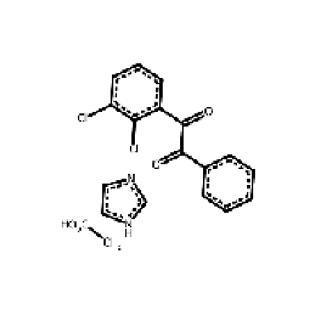 CC(=O)O.O=C(C(=O)c1cccc(Cl)c1Cl)c1ccccc1.c1c[nH]cn1